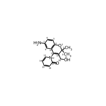 CC1(C)Oc2ccc(N)cc2C(n2ccccc2=O)=C1CO